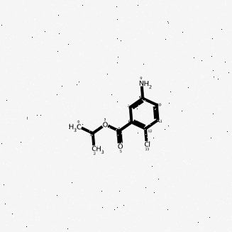 CC(C)OC(=O)c1cc(N)ccc1Cl